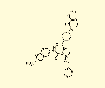 CC(C)(C)OC(=O)N[C@H](CF)C1CCC(C(=O)N2CC[C@@H](OCc3ccccc3)[C@@H]2C(=O)Nc2ccc3oc(C(=O)O)cc3c2)CC1